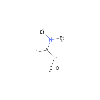 CCN(CC)C(C)CC=O